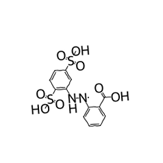 O=C(O)c1ccccc1[N]Nc1cc(S(=O)(=O)O)ccc1S(=O)(=O)O